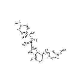 COc1ccc(S(=O)(=O)NC(=O)c2cc3c(Nc4cccc(OC)c4)ccc(F)c3[nH]2)cc1